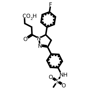 CS(=O)(=O)Nc1ccc(C2=NN(C(=O)CCC(=O)O)C(c3ccc(F)cc3)C2)cc1